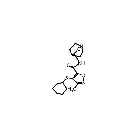 Cc1noc(C(=O)NC2CN3CCC2CC3)c1SC1CCCCC1